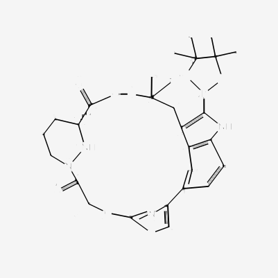 C[C@H]1Cc2nc(cs2)-c2ccc3[nH]c(B4OC(C)(C)C(C)(C)O4)c(c3c2)CC(C)(C)COC(=O)[C@@H]2CCCN(N2)C1=O